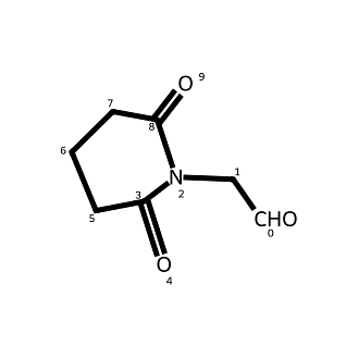 O=CCN1C(=O)CCCC1=O